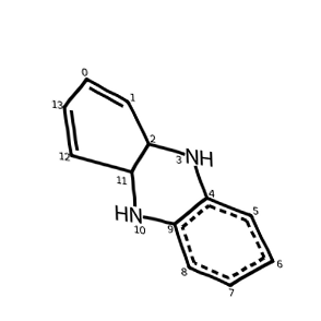 C1=CC2Nc3ccccc3NC2C=C1